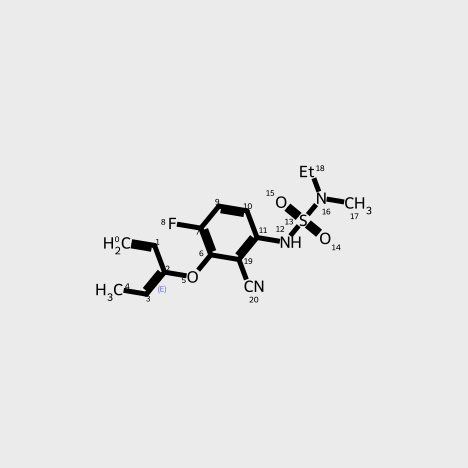 C=C/C(=C\C)Oc1c(F)ccc(NS(=O)(=O)N(C)CC)c1C#N